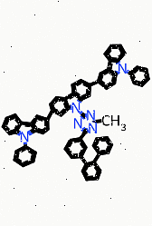 Cc1nc(-c2cccc(-c3ccccc3-c3ccccc3)c2)nc(-n2c3cc(-c4ccc5c(c4)c4ccccc4n5-c4ccccc4)ccc3c3ccc(-c4ccc5c(c4)c4ccccc4n5-c4ccccc4)cc32)n1